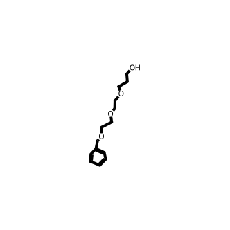 OCCCOCCOCCOCc1ccccc1